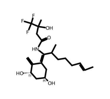 C=C1C(=C(NC(=O)CC(C)(O)C(F)(F)F)C(C)CCCC=CC)C[C@@H](O)C[C@@H]1O